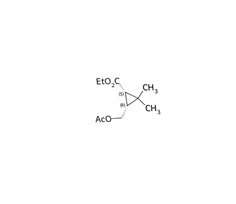 CCOC(=O)[C@H]1[C@@H](COC(C)=O)C1(C)C